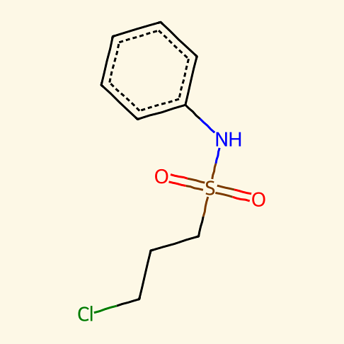 O=S(=O)(CCCCl)Nc1ccccc1